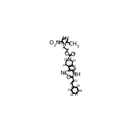 Cc1ncc([N+](=O)[O-])n1CCOC(=O)N1CCc2c(sc(NC(=O)C=Cc3ccccc3)c2C#N)C1